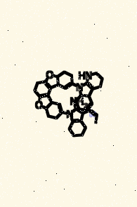 C/C=C\C1C2=C(CCCC2)N(C2=CC3C4=C(CCC5=C4C4C=C(N6C7=C(CCCN7)C7C=CCCC76)CCC4O5)OC3CC2)C1N